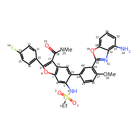 CCS(=O)(=O)Nc1cc2oc(-c3ccc(F)cc3)c(C(=O)NC)c2cc1-c1ccc(OC)c(-c2nc3c(N)cccc3o2)c1